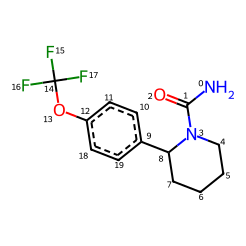 NC(=O)N1CCCCC1c1ccc(OC(F)(F)F)cc1